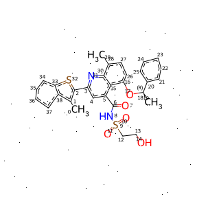 Cc1c(-c2cc(C(=O)NS(=O)(=O)CCO)c3c(O[C@H](C)c4ccccc4)ccc(C)c3n2)sc2ccccc12